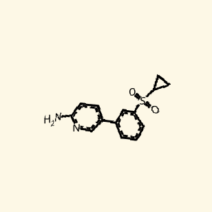 Nc1ccc(-c2cccc(S(=O)(=O)C3CC3)c2)cn1